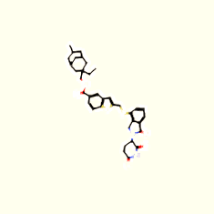 CCC1(COC(=O)c2ccc3sc(CSc4cccc5c4CN(C4CCC(=O)NC4=O)C5=O)cc3c2)CC2CC(C)CC(C2)C1